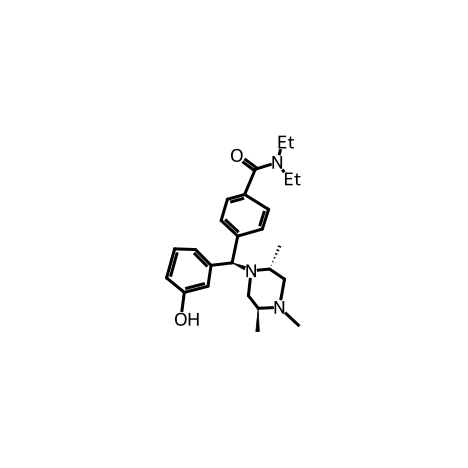 CCN(CC)C(=O)c1ccc([C@H](c2cccc(O)c2)N2C[C@H](C)N(C)C[C@H]2C)cc1